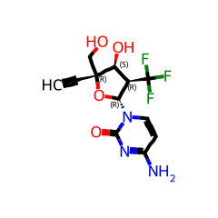 C#C[C@]1(CO)O[C@@H](n2ccc(N)nc2=O)[C@H](C(F)(F)F)[C@@H]1O